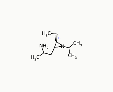 C/C=C1\C(CC(C)N)N1C(C)C